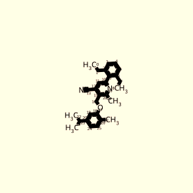 CCc1cccc(CC)c1-c1cc(C#N)c(COc2cc(C(C)C)ccc2C)c(C)n1